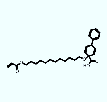 C=CC(=O)OCCCCCCCCCCCCOC1(C(=O)O)C=CC(c2ccccc2)C=C1